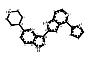 c1csc(-c2nccc3[nH]c(-c4n[nH]c5ccc(C6CCNCC6)nc45)cc23)c1